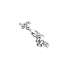 CC1(C)CCN(c2ccc(/C=C/c3ccc4c(c3)C(C)(C)c3cc(N5CCC(C)(C)c6ccccc65)ccc3-4)cc2)c2ccccc21